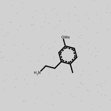 COc1ccc(C)c(CCN)c1